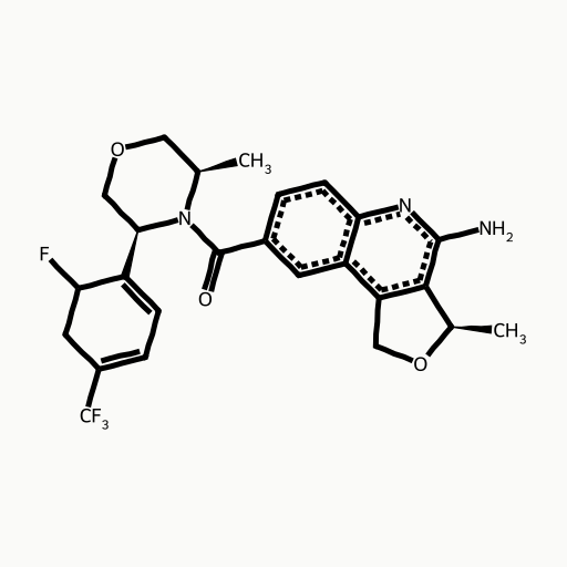 C[C@@H]1COC[C@H](C2=CC=C(C(F)(F)F)CC2F)N1C(=O)c1ccc2nc(N)c3c(c2c1)CO[C@@H]3C